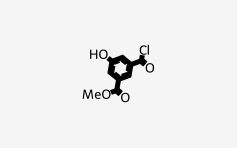 COC(=O)c1cc(O)cc(C(=O)Cl)c1